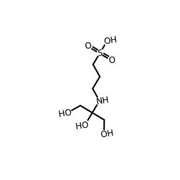 O=S(=O)(O)CCCNC(O)(CO)CO